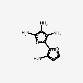 Nc1ccoc1-c1oc(N)c(N)c1N